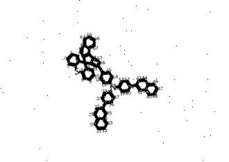 c1ccc2c(c1)Sc1ccccc1C21c2cc(-c3ccc(N(c4ccc(-c5ccc6ccccc6c5)cc4)c4ccc(-c5ccc6ccccc6c5)cc4)cc3)ccc2-c2c1ccc1ccccc21